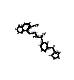 O=C(N/N=C/c1c(O)ccc2ccccc12)c1cccc(Cn2cccn2)c1